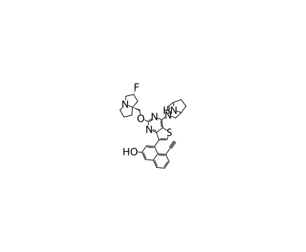 C#Cc1cccc2cc(O)cc(-c3csc4c(N5CC6CCC(C5)N6)nc(OC[C@@]56CCCN5C[C@H](F)C6)nc34)c12